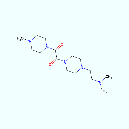 CN(C)CCN1CCN(C(=O)C(=O)N2CCN(C)CC2)CC1